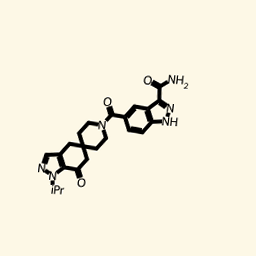 CC(C)n1ncc2c1C(=O)CC1(CCN(C(=O)c3ccc4[nH]nc(C(N)=O)c4c3)CC1)C2